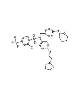 O=S(=O)(c1ccc(C(F)(F)F)cc1Cl)N(Cc1ccc(OC2CCCCO2)cc1)c1ccc(OCCN2CCCC2)cc1